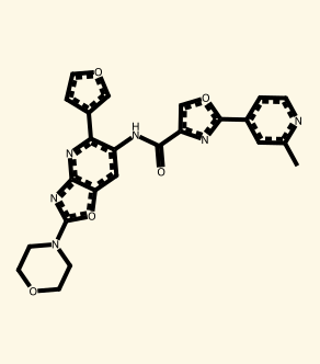 Cc1cc(-c2nc(C(=O)Nc3cc4oc(N5CCOCC5)nc4nc3-c3ccoc3)co2)ccn1